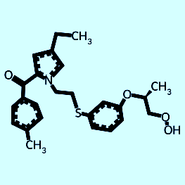 CCc1cc(C(=O)c2ccc(C)cc2)n(CCSc2cccc(O[C@@H](C)COO)c2)c1